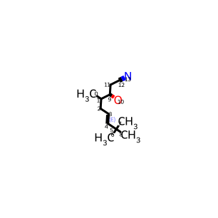 CC(C/C=C/C(C)(C)C)C(=O)CC#N